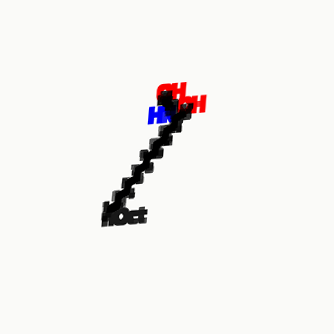 CCCCCCCC/C=C/CCCCCCCCCCCCC(CO)NCCO